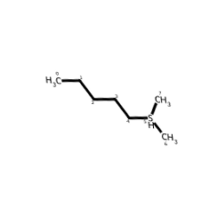 CCCCC[SH](C)C